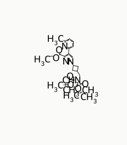 CCOC(=O)c1nn(C2CC(CN(C(=O)OC(C)(C)C)C(=O)OC(C)(C)C)C2)cc1-c1cccc(C)n1